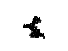 COC(=O)OCS[C@@H]1CCN([C@H](C(=O)OC)c2ccccc2Cl)C/C1=C/C(=O)O